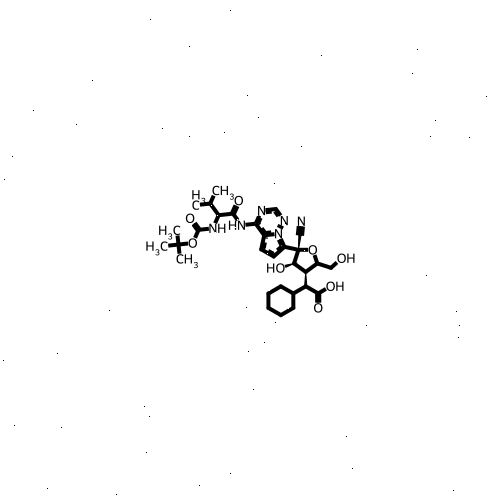 CC(C)C(NC(=O)OC(C)(C)C)C(=O)Nc1ncnn2c([C@]3(C#N)OC(CO)[C@@H](C(C(=O)O)C4CCCCC4)[C@H]3O)ccc12